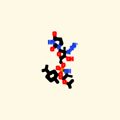 Cc1ccc(C(C)C)cc1OP(=O)(N[C@@H](C)C(=O)OC(C)C)OC[C@H]1O[C@@H](n2ccc(=O)[nH]c2=O)[C@](C)(N=[N+]=[N-])[C@@H]1O